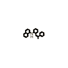 CC(=Cc1ccccc1Nc1cccc2ccccc12)c1ccccc1